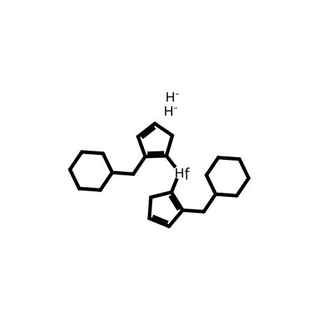 C1=CC(CC2CCCCC2)=[C]([Hf][C]2=C(CC3CCCCC3)C=CC2)C1.[H-].[H-]